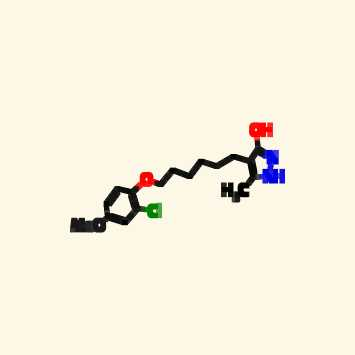 COc1ccc(OCCCCCCc2c(O)n[nH]c2C)c(Cl)c1